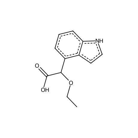 CCOC(C(=O)O)c1cccc2[nH]ccc12